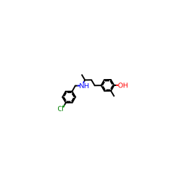 Cc1cc(CCC(C)NCc2ccc(Cl)cc2)ccc1O